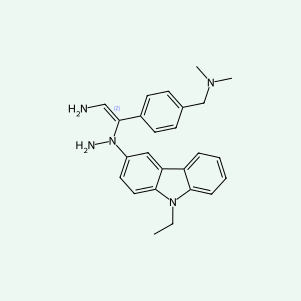 CCn1c2ccccc2c2cc(N(N)/C(=C\N)c3ccc(CN(C)C)cc3)ccc21